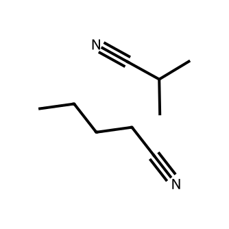 CC(C)C#N.CCCCC#N